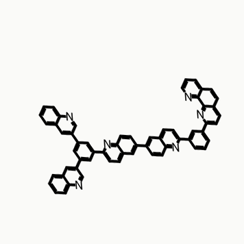 c1cc(-c2ccc3cc(-c4ccc5nc(-c6cc(-c7cnc8ccccc8c7)cc(-c7cnc8ccccc8c7)c6)ccc5c4)ccc3n2)cc(-c2ccc3ccc4cccnc4c3n2)c1